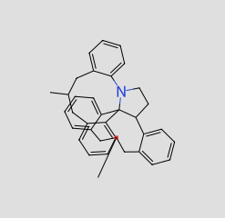 CC1Cc2ccccc2C2CCN3c4ccccc4CC(C)Cc4ccccc4C23c2ccccc2C1